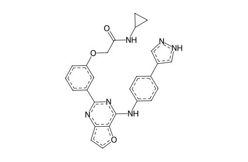 O=C(COc1cccc(-c2nc(Nc3ccc(-c4cn[nH]c4)cc3)c3occc3n2)c1)NC1CC1